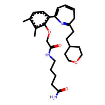 Cc1ccc(C2=CC=CCC(CCC3CCOCC3)=N2)c(OCC(=O)NCCCCC(N)=O)c1C